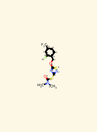 CN(C)C(=O)Sc1nsc(OCc2ccc(C(F)(F)F)cc2F)n1